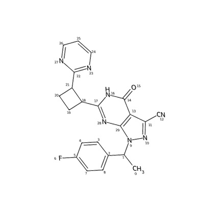 CC(c1ccc(F)cc1)n1nc(C#N)c2c(=O)[nH]c(C3CCC3c3ncccn3)nc21